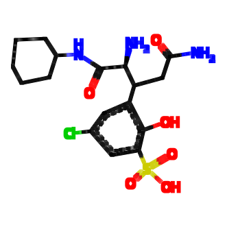 NC(=O)CC(c1cc(Cl)cc(S(=O)(=O)O)c1O)[C@H](N)C(=O)NC1CCCCC1